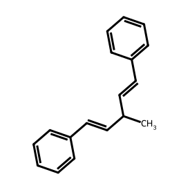 CC(C=Cc1ccccc1)C=Cc1ccccc1